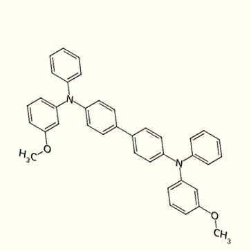 COc1cccc(N(c2ccccc2)c2ccc(-c3ccc(N(c4ccccc4)c4cccc(OC)c4)cc3)cc2)c1